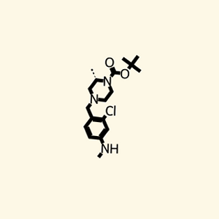 CNc1ccc(CN2CCN(C(=O)OC(C)(C)C)[C@@H](C)C2)c(Cl)c1